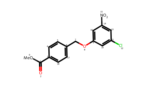 COC(=O)c1ccc(COc2cc(Cl)cc([N+](=O)[O-])c2)cc1